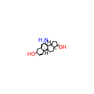 C[C@]12CC[C@H]3C(=C(N)C=C4CC(O)C=C[C@@]43C)[C@@H]1CC[C@@H]2O